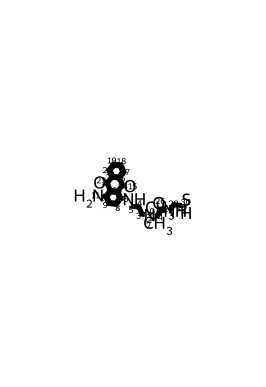 C[N+](C)(CCCNc1ccc(N)c2c1C(=O)c1ccccc1C2=O)CC(=O)NCCS